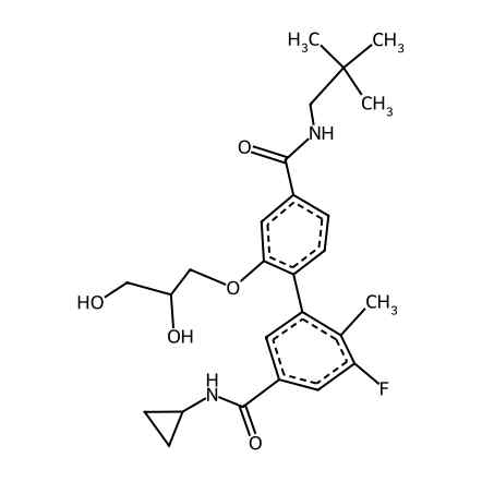 Cc1c(F)cc(C(=O)NC2CC2)cc1-c1ccc(C(=O)NCC(C)(C)C)cc1OCC(O)CO